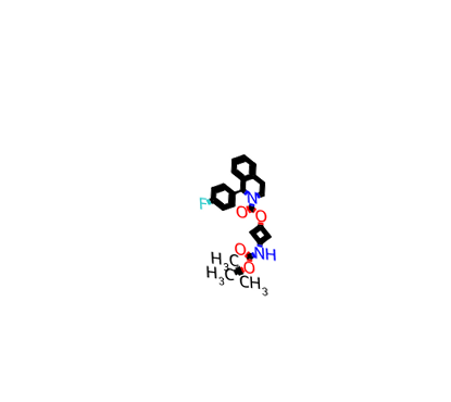 CC(C)(C)OC(=O)NC1CC(OC(=O)N2CCc3ccccc3[C@@H]2c2ccc(F)cc2)C1